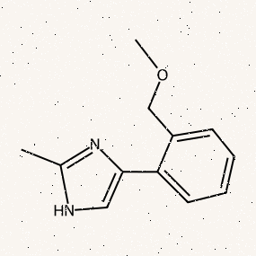 COCc1ccccc1-c1c[nH]c(C)n1